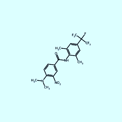 Cc1cc(C(F)(C(F)(F)F)C(F)(F)F)cc(C)c1NC(=O)c1ccc(N(C)C)c([N+](=O)[O-])c1